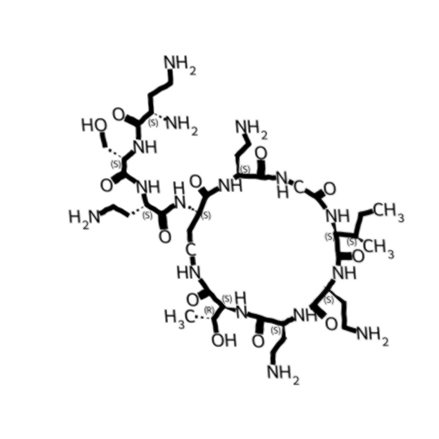 CC[C@H](C)[C@@H]1NC(=O)CNC(=O)[C@H](CCN)NC(=O)[C@@H](NC(=O)[C@H](CCN)NC(=O)[C@H](CO)NC(=O)[C@@H](N)CCN)CCNC(=O)[C@H]([C@@H](C)O)NC(=O)[C@H](CCN)NC(=O)[C@H](CCN)NC1=O